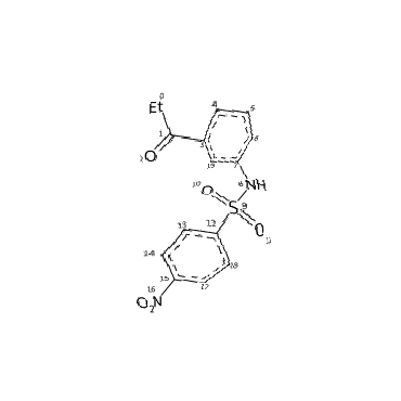 CCC(=O)c1cccc(NS(=O)(=O)c2ccc([N+](=O)[O-])cc2)c1